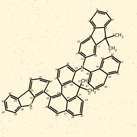 CC1(C)c2ccccc2-c2ccc(N(c3cccc4c3C(C)(C)c3cccc5ccc(-c6cccc7c6sc6ccccc67)c-4c35)c3cccc4ccccc34)cc21